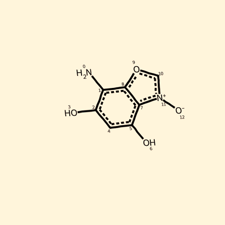 Nc1c(O)cc(O)c2c1oc[n+]2[O-]